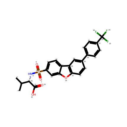 CC(C)[C@H](NS(=O)(=O)c1ccc2c(c1)oc1ccc(-c3ccc(C(F)(F)F)cc3)cc12)C(=O)O